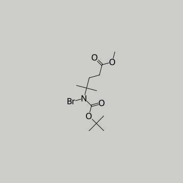 COC(=O)CCC(C)(C)N(Br)C(=O)OC(C)(C)C